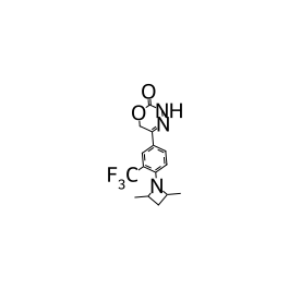 CC1CC(C)N1c1ccc(C2=NNC(=O)OC2)cc1C(F)(F)F